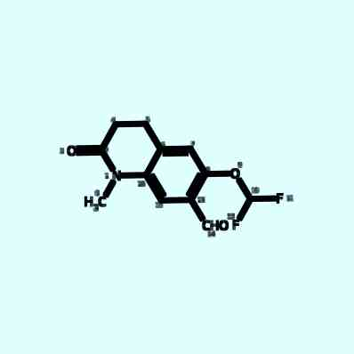 CN1C(=O)CCc2cc(OC(F)F)c(C=O)cc21